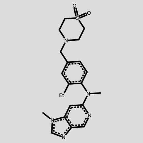 CCc1cc(CN2CCS(=O)(=O)CC2)ccc1N(C)c1cc2c(cn1)ncn2C